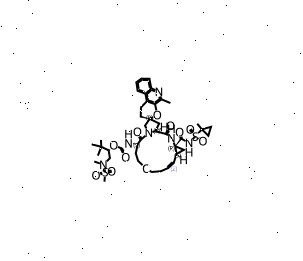 Cc1nc2ccccc2c2c1O[C@]1(CC2)C[C@H]2C(=O)N[C@]3(C(=O)NS(=O)(=O)C4(C)CC4)C[C@H]3/C=C\CCCCC[C@H](NC(=O)OC(CN(C)S(C)(=O)=O)C(C)(C)C)C(=O)N2C1